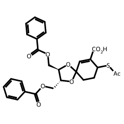 CC(=O)SC1CCC2(C=C1C(=O)O)O[C@H](COC(=O)c1ccccc1)[C@@H](COC(=O)c1ccccc1)O2